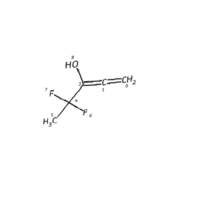 C=C=C(O)C(C)(F)F